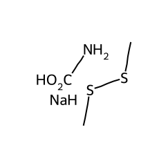 CSSC.NC(=O)O.[NaH]